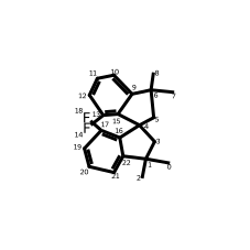 CC1(C)CC2(CC(C)(C)c3cccc(F)c32)c2c(F)cccc21